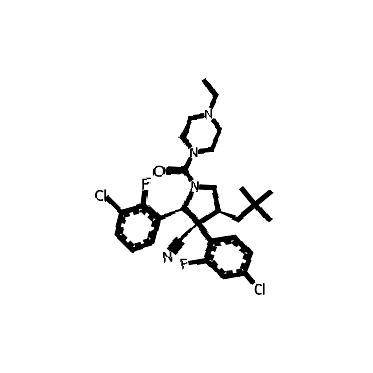 CCN1CCN(C(=O)N2C[C@@H](CC(C)(C)C)[C@](C#N)(c3ccc(Cl)cc3F)[C@H]2c2cccc(Cl)c2F)CC1